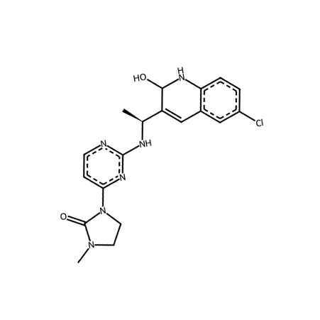 C[C@H](Nc1nccc(N2CCN(C)C2=O)n1)C1=Cc2cc(Cl)ccc2NC1O